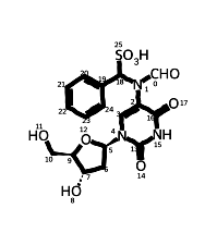 O=CN(c1cn([C@H]2C[C@H](O)[C@@H](CO)O2)c(=O)[nH]c1=O)C(c1ccccc1)S(=O)(=O)O